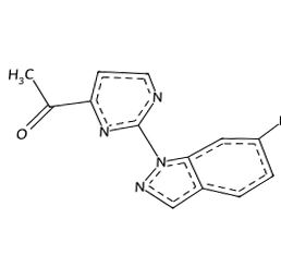 CC(=O)c1ccnc(-n2ncc3ccc(Br)cc32)n1